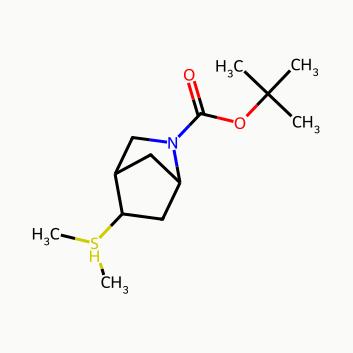 C[SH](C)C1CC2CC1CN2C(=O)OC(C)(C)C